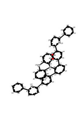 c1ccc(-c2cccc(-c3ccc(-c4cccc(-c5ccc(-c6cccc(-c7ccccc7)n6)cc5)c4N4c5ccccc5Oc5ccccc54)cc3)n2)cc1